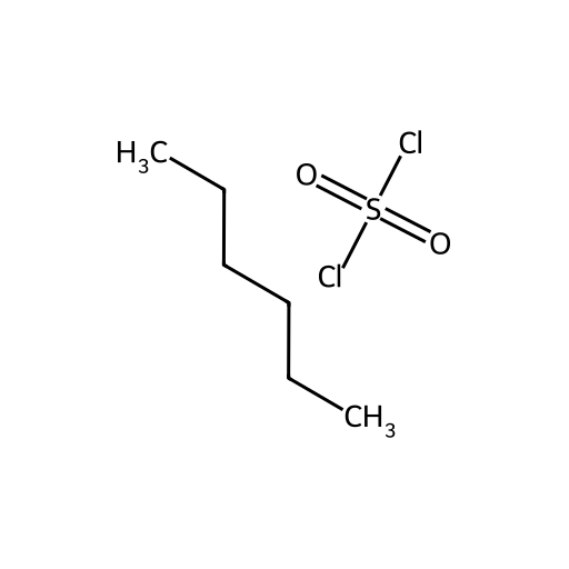 CCCCCC.O=S(=O)(Cl)Cl